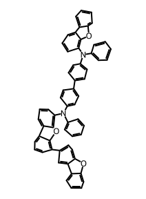 c1ccc(N(c2ccc(-c3ccc(N(c4ccccc4)c4cccc5c4oc4c(-c6ccc7oc8ccccc8c7c6)cccc45)cc3)cc2)c2cccc3c2oc2ccccc23)cc1